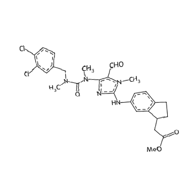 COC(=O)CC1CCc2ccc(Nc3nc(N(C)C(=O)N(C)Cc4ccc(Cl)c(Cl)c4)c(C=O)n3C)cc21